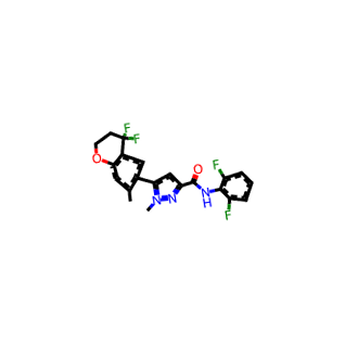 Cc1cc2c(cc1-c1cc(C(=O)Nc3c(F)cccc3F)nn1C)C(F)(F)CCO2